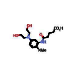 CNc1ccc(N(CCO)CCO)cc1NC(=O)CCCC(=O)O